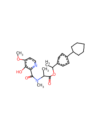 COc1ccnc(C(=O)N(C)C(C)C(=O)OC(C)c2ccc(C3CCCCC3)cc2)c1O